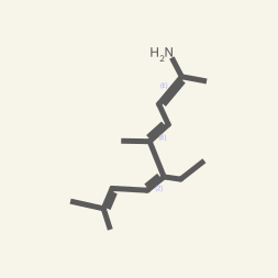 CCC(=C/C=C(C)C)/C(C)=C/C=C(\C)N